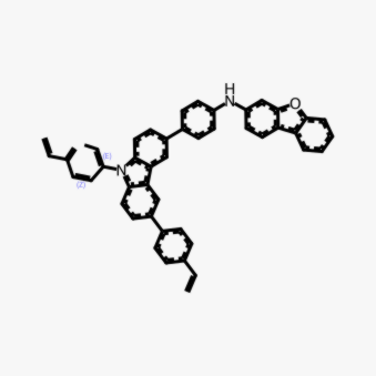 C=CC(=C)/C=C\C(=C/C)n1c2ccc(-c3ccc(C=C)cc3)cc2c2cc(-c3ccc(Nc4ccc5c(c4)oc4ccccc45)cc3)ccc21